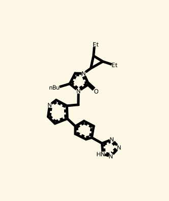 CCCCc1cn(C2C(CC)C2CC)c(=O)n1Cc1cnccc1-c1ccc(-c2nnn[nH]2)cc1